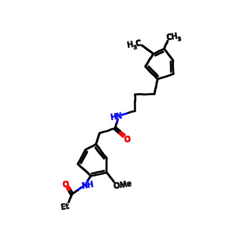 CCC(=O)Nc1ccc(CC(=O)NCCCc2ccc(C)c(C)c2)cc1OC